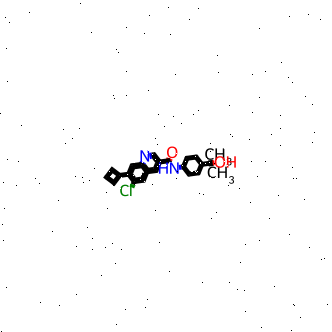 CC(C)(O)C1CCC(NC(=O)c2cnc3cc(C4CCC4)c(Cl)cc3c2)CC1